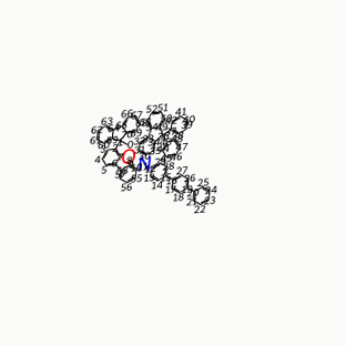 CC1(c2cccc3c2oc2c(N(c4ccc(-c5ccc(-c6ccccc6)cc5)cc4)c4ccc5c(c4)C(c4ccccc4)(c4ccccc4)c4ccccc4-5)cccc23)c2ccccc2-c2ccccc21